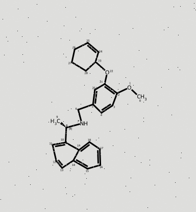 COc1ccc(CN[C@H](C)c2cccc3ccccc23)cc1OC1C=CCCC1